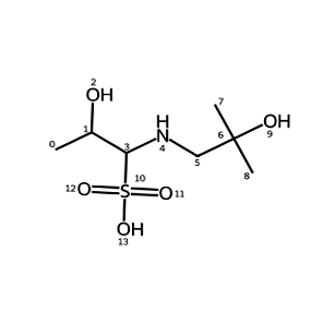 CC(O)C(NCC(C)(C)O)S(=O)(=O)O